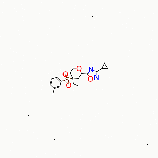 CCC1(S(=O)(=O)c2cccc(C)c2)CCOC(c2nc(C3CC3)no2)C1